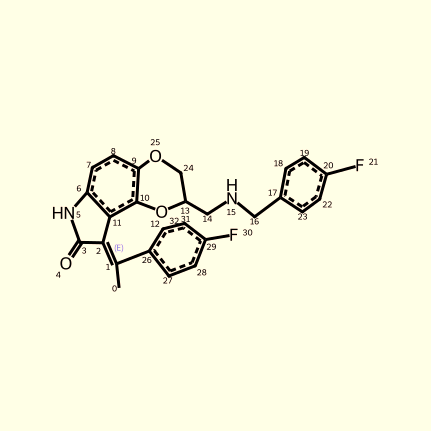 C/C(=C1\C(=O)Nc2ccc3c(c21)OC(CNCc1ccc(F)cc1)CO3)c1ccc(F)cc1